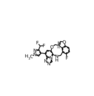 Cn1cc(-c2cc3c(n4cnnc24)NCc2c(F)ccc4c2[C@@H](CO4)CO3)c(C(F)F)n1